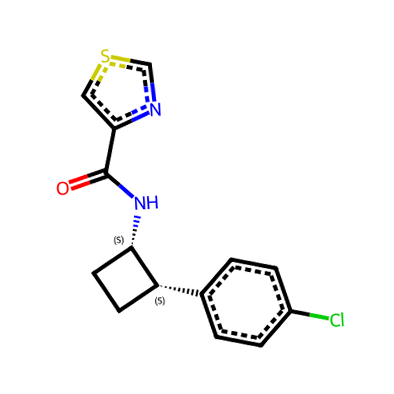 O=C(N[C@H]1CC[C@H]1c1ccc(Cl)cc1)c1cscn1